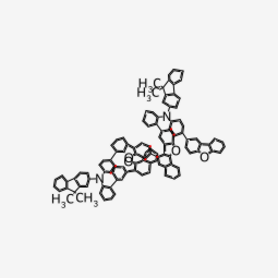 CC1(C)c2ccccc2-c2ccc(N(c3ccc(-c4cccc5c4oc4cc(-c6cc7ccccc7c7oc8ccc(-c9ccccc9N(c9ccc(-c%10ccc%11oc%12ccccc%12c%11c%10)cc9)c9ccc%10c(c9)C(C)(C)c9ccccc9-%10)cc8c67)ccc45)cc3)c3ccccc3-c3ccc4oc5c6ccccc6ccc5c4c3)cc21